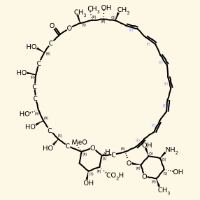 CO[C@]12C[C@@H](O)C[C@@H](O)[C@H](O)CC[C@@H](O)C[C@@H](O)CC(=O)O[C@@H](C)[C@H](C)[C@H](O)[C@@H](C)/C=C/C=C/C=C/C=C/C=C/C=C/C=C/[C@H](O[C@@H]3O[C@H](C)[C@@H](O)[C@H](N)[C@@H]3O)C[C@H](O1)[C@H](C(=O)O)[C@@H](O)C2